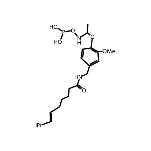 COc1cc(CNC(=O)CCCC/C=C/C(C)C)ccc1OC(C)NOP(O)O